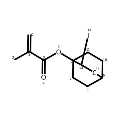 C=C(C)C(=O)OC12CCC(CC1)CC2I